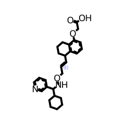 O=C(O)COc1cccc2c1CCCC2/C=C/CONC(c1cccnc1)C1CCCCC1